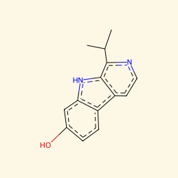 CC(C)c1nccc2c1[nH]c1cc(O)ccc12